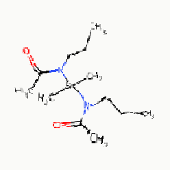 CCCN(C(C)=O)[Si](C)(C)N(CCC)C(C)=O